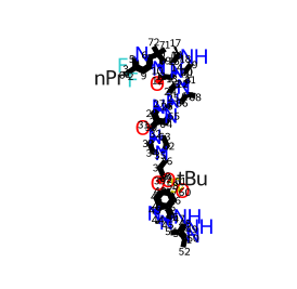 CCCC(F)(F)c1cnc2c(c1)N(C(=O)CN1C[C@@H](C)NC[C@@H]1CN1CCN(c3ncc(C(=O)N4CCN(CCCOc5cc6ncnc(Nc7[nH]nc(C)c7C)c6cc5S(=O)(=O)C(C)(C)C)CC4)cn3)CC1C)CC2(C)C